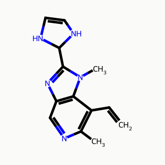 C=Cc1c(C)ncc2nc(C3NC=CN3)n(C)c12